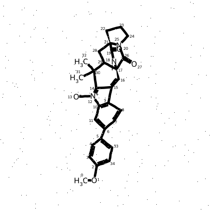 COc1ccc(-c2ccc3c(c2)[N+]([O-])=C2C3=C[C@@]34NC(=O)[C@]5(CCCN5C3=O)CC4C2(C)C)cc1